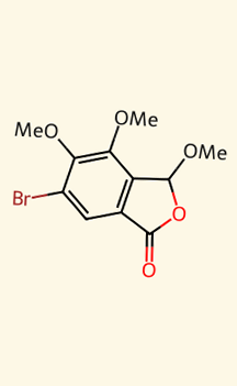 COc1c(Br)cc2c(c1OC)C(OC)OC2=O